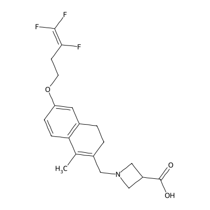 CC1=C(CN2CC(C(=O)O)C2)CCc2cc(OCCC(F)=C(F)F)ccc21